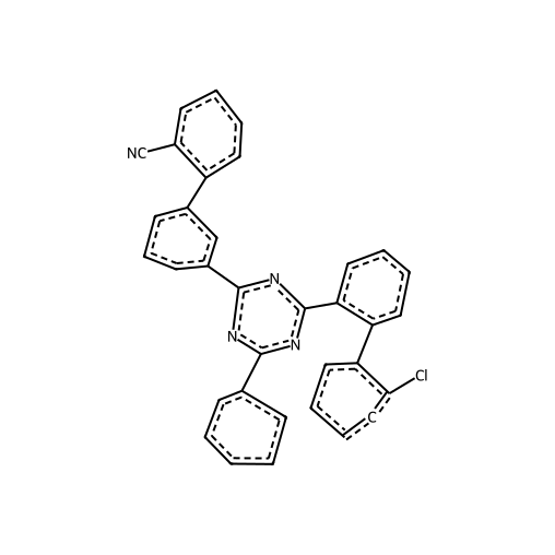 N#Cc1ccccc1-c1cccc(-c2nc(-c3ccccc3)nc(-c3ccccc3-c3ccccc3Cl)n2)c1